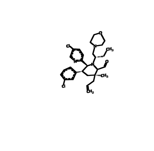 C=CC[C@@]1(C)C[C@H](c2cccc(Cl)c2)[C@@H](c2ccc(Cl)cn2)N([C@@H](CC)CN2CCOCC2)C1C=O